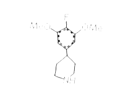 COc1cc(C2CCNCC2)cc(OC)c1F